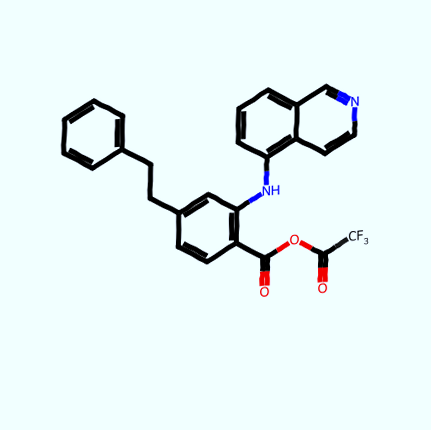 O=C(OC(=O)C(F)(F)F)c1ccc(CCc2ccccc2)cc1Nc1cccc2cnccc12